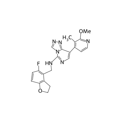 COc1nccc(-c2cnc(NCc3c(F)ccc4c3CCO4)n3cnnc23)c1C